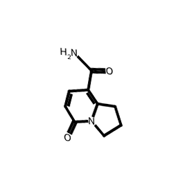 NC(=O)c1ccc(=O)n2c1CCC2